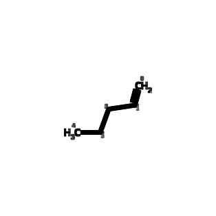 C=[C]C[CH]C